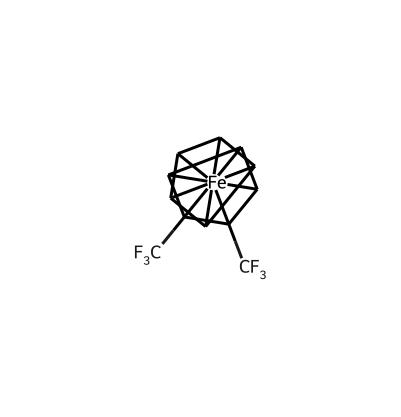 FC(F)(F)[C]12[CH]3[CH]4[CH]5[C]1(C(F)(F)F)[Fe]43521678[CH]2[CH]1[CH]6[CH]7[CH]28